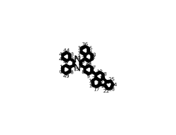 c1ccc(-c2nc(-c3ccc(-c4ccc5c6c(cccc46)-c4ccccc4-5)cc3)c(-c3cccc4ccccc34)nc2-c2ccccc2)cc1